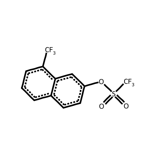 O=S(=O)(Oc1ccc2cccc(C(F)(F)F)c2c1)C(F)(F)F